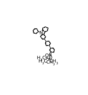 CC1(C)OB(c2cccc(-c3ccc(-c4ccc5c(c4)c4ccccc4n5-c4ccccc4)cc3)c2)OC1(C)C